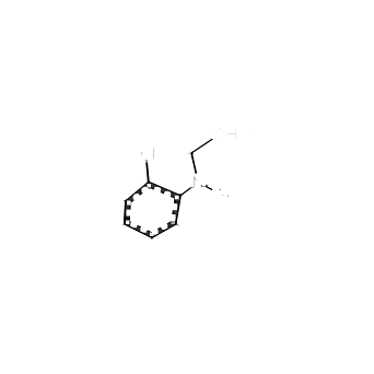 CC(=O)N(C[C]=O)c1ccccc1C